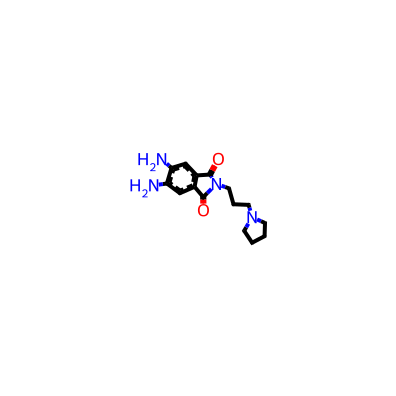 Nc1cc2c(cc1N)C(=O)N(CCCN1CCCC1)C2=O